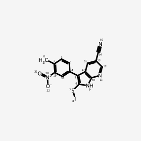 Cc1ccc(-c2c(SI)[nH]c3ncc(C#N)cc23)cc1[N+](=O)[O-]